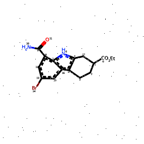 CCOC(=O)C1CCc2c([nH]c3c(C(N)=O)cc(Br)cc23)C1